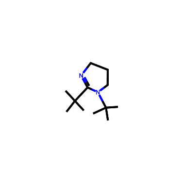 CC(C)(C)C1=NCCCN1C(C)(C)C